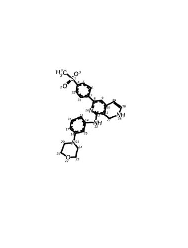 CS(=O)(=O)c1ccc(-c2cc3c(c(Nc4cccc(N5CCOCC5)c4)n2)CNC=C3)cc1